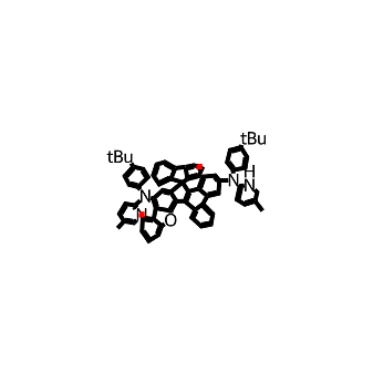 CC1=CC=C(N(c2ccc(C(C)(C)C)cc2)c2ccc3c4c(c5ccccc5c3c2)-c2c(cc(N(c3ccc(C(C)(C)C)cc3)c3ccc(C)cn3)c3c2oc2ccccc23)C42c3ccccc3-c3ccccc32)NC1